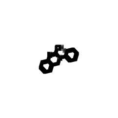 CC1=Nc2ccccc2CN1c1ccccc1